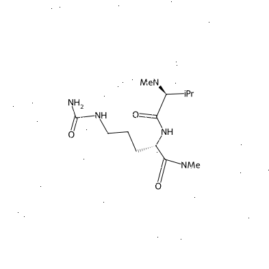 CNC(=O)[C@H](CCCNC(N)=O)NC(=O)[C@@H](NC)C(C)C